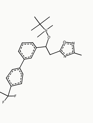 Cc1noc(CC(O[Si](C)(C)C(C)(C)C)c2cccc(-c3ccc(C(F)(F)F)cc3)c2)n1